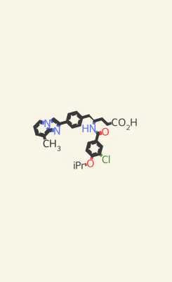 Cc1cccn2cc(-c3ccc(C[C@@H](CCC(=O)O)NC(=O)c4ccc(OC(C)C)c(Cl)c4)cc3)nc12